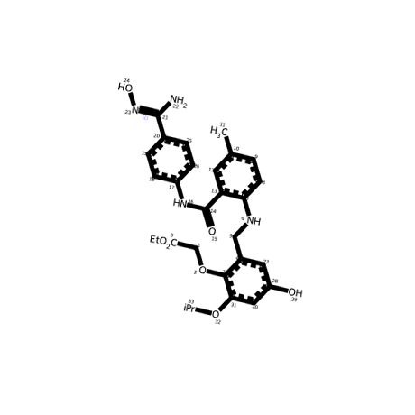 CCOC(=O)COc1c(CNc2ccc(C)cc2C(=O)Nc2ccc(/C(N)=N/O)cc2)cc(O)cc1OC(C)C